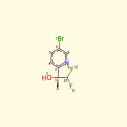 C[C@@](O)(c1ccc(Br)cn1)C(F)F